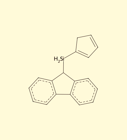 C1=CCC([SiH2]C2c3ccccc3-c3ccccc32)=C1